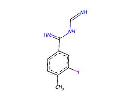 Cc1ccc(C(=N)NC=N)cc1I